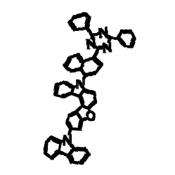 c1ccc(-c2nc(-c3ccccc3)nc(-c3ccc(-n4c5ccccc5c5c6c(ccc54)oc4cc(-n5c7ccccc7c7ccccc75)ccc46)c4ccccc34)n2)cc1